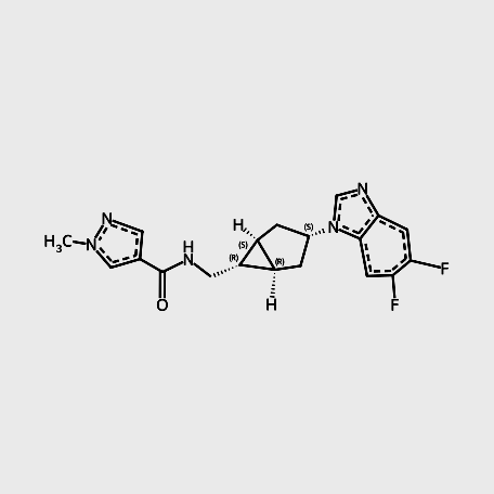 Cn1cc(C(=O)NC[C@@H]2[C@H]3C[C@H](n4cnc5cc(F)c(F)cc54)C[C@@H]23)cn1